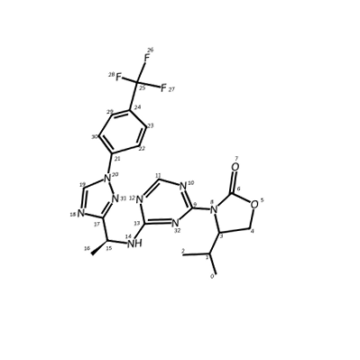 CC(C)C1COC(=O)N1c1ncnc(N[C@@H](C)c2ncn(-c3ccc(C(F)(F)F)cc3)n2)n1